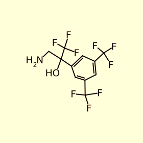 NCC(O)(c1cc(C(F)(F)F)cc(C(F)(F)F)c1)C(F)(F)F